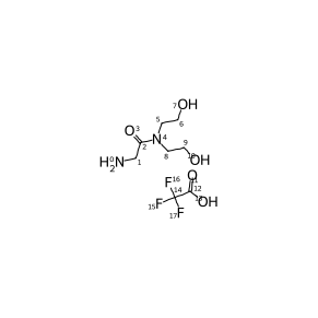 NCC(=O)N(CCO)CCO.O=C(O)C(F)(F)F